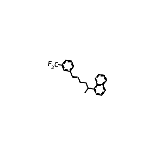 CC(CC/C=C/c1cccc(C(F)(F)F)c1)c1cccc2ccccc12